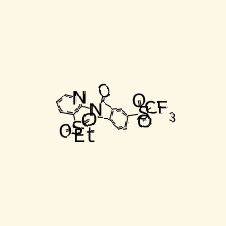 CCS(=O)(=O)c1cccnc1N1Cc2ccc(S(=O)(=O)C(F)(F)F)cc2C1=O